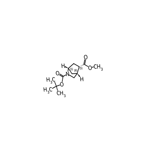 COC(=O)[C@H]1C[C@@H]2C[C@H]1CN2C(=O)OC(C)(C)C